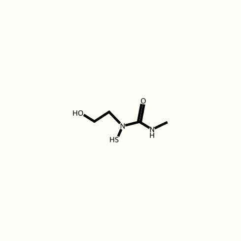 CNC(=O)N(S)CCO